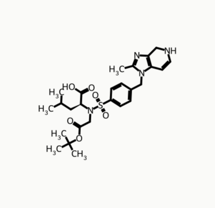 Cc1nc2c(n1Cc1ccc(S(=O)(=O)N(CC(=O)OC(C)(C)C)[C@@H](CC(C)C)C(=O)O)cc1)C=CNC2